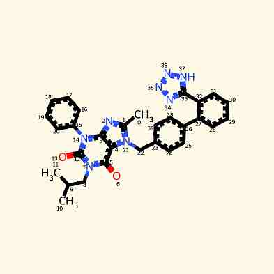 Cc1nc2c(c(=O)n(CC(C)C)c(=O)n2-c2ccccc2)n1Cc1ccc(-c2ccccc2-c2nnn[nH]2)cc1